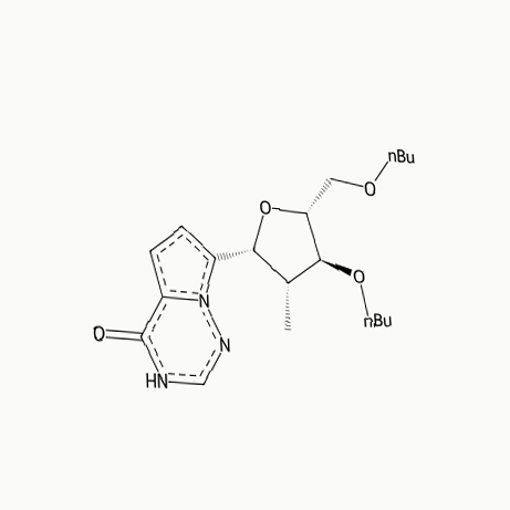 CCCCOC[C@H]1O[C@@H](c2ccc3c(=O)[nH]cnn23)[C@@H](C)[C@@H]1OCCCC